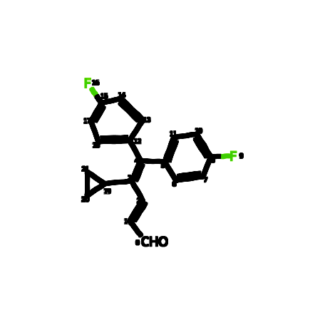 O=C/C=C/C(=C(c1ccc(F)cc1)c1ccc(F)cc1)C1CC1